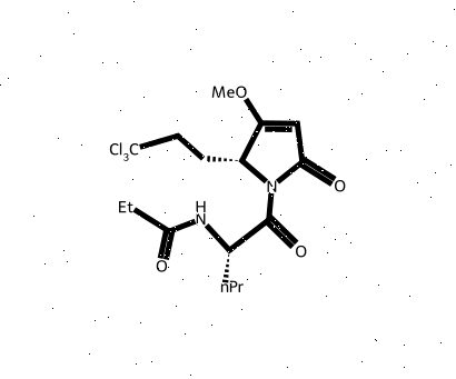 CCC[C@H](NC(=O)CC)C(=O)N1C(=O)C=C(OC)[C@H]1CCC(Cl)(Cl)Cl